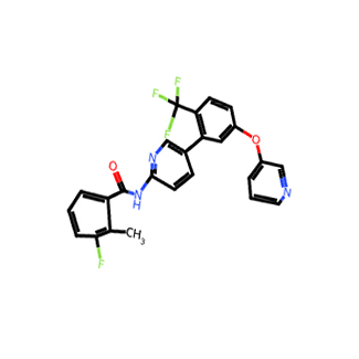 Cc1c(F)cccc1C(=O)Nc1ccc(-c2cc(Oc3cccnc3)ccc2C(F)(F)F)cn1